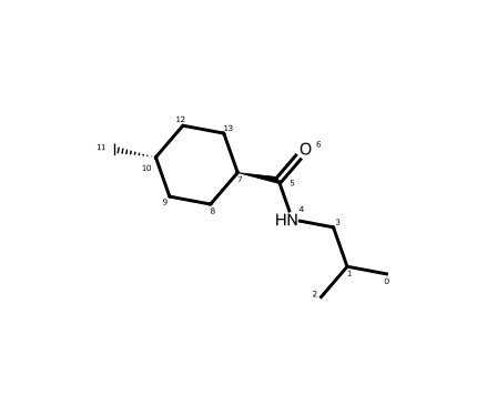 CC(C)CNC(=O)[C@H]1CC[C@H](I)CC1